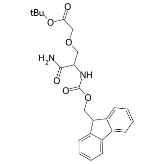 CC(C)(C)OC(=O)COCC(NC(=O)OCC1c2ccccc2-c2ccccc21)C(N)=O